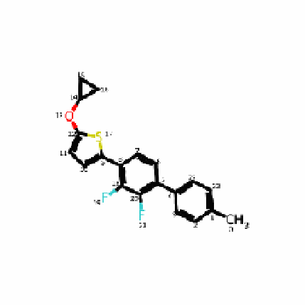 Cc1ccc(-c2ccc(-c3ccc(OC4CC4)s3)c(F)c2F)cc1